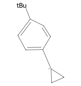 CC(C)(C)c1ccc([C]2CC2)cc1